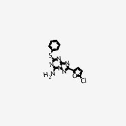 Nc1nc(Sc2ccccc2)nc2nc(-c3ccc(Cl)o3)nn12